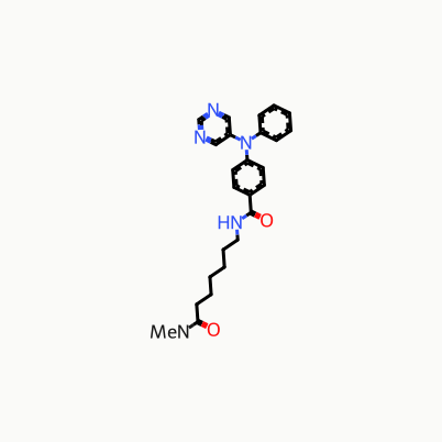 CNC(=O)CCCCCCNC(=O)c1ccc(N(c2ccccc2)c2cncnc2)cc1